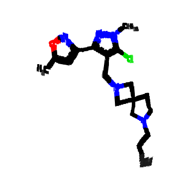 Cc1cc(-c2nn(C)c(Cl)c2CN2CC3(CCN(CCC(C)(C)C)C3)C2)no1